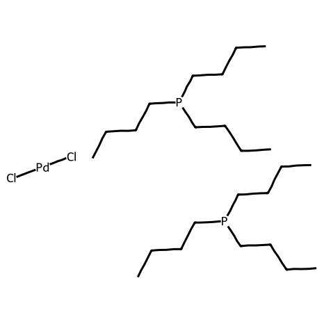 CCCCP(CCCC)CCCC.CCCCP(CCCC)CCCC.[Cl][Pd][Cl]